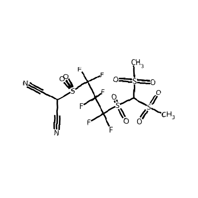 CS(=O)(=O)C(S(C)(=O)=O)S(=O)(=O)C(F)(F)C(F)(F)C(F)(F)S(=O)(=O)C(C#N)C#N